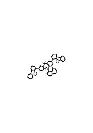 CC1(C)c2cc(-c3cccc4c3oc3ccccc34)ccc2N2c3c(cc(-c4cccc5c4oc4ccccc45)cc31)-c1cccc3cccc2c13